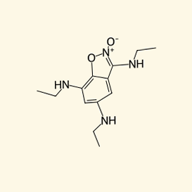 CCNc1cc(NCC)c2o[n+]([O-])c(NCC)c2c1